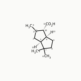 CN1C[C@H]2[C@H](CCC2(C)C)[C@H]1C(=O)O